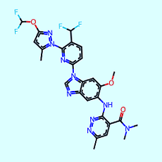 COc1cc2c(cc1Nc1nnc(C)cc1C(=O)N(C)C)ncn2-c1ccc(C(F)F)c(-n2nc(OC(F)F)cc2C)n1